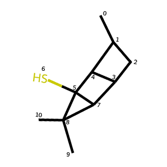 CC1CC2C1C1(S)C2C1(C)C